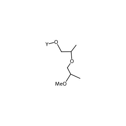 COC(C)COC(C)C[O][Y]